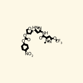 Cn1nc(OC(F)(F)F)cc1C(=O)Nc1cc([C@@H]2C[C@H](OC(=O)Oc3ccc([N+](=O)[O-])cc3)CO2)[nH]n1